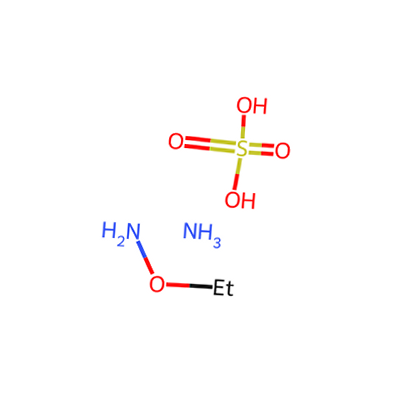 CCON.N.O=S(=O)(O)O